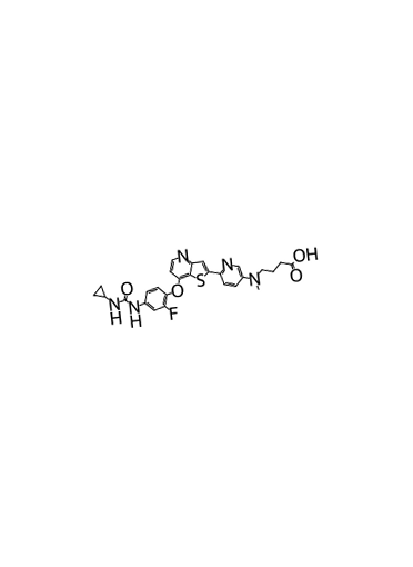 CN(CCCC(=O)O)c1ccc(-c2cc3nccc(Oc4ccc(NC(=O)NC5CC5)cc4F)c3s2)nc1